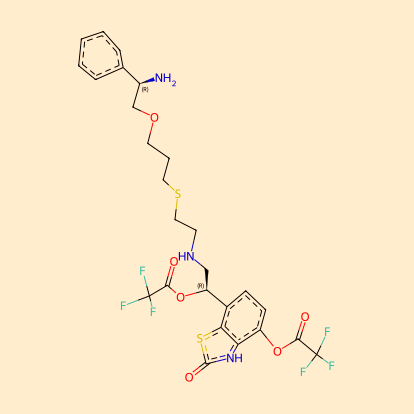 N[C@@H](COCCCSCCNC[C@H](OC(=O)C(F)(F)F)c1ccc(OC(=O)C(F)(F)F)c2[nH]c(=O)sc12)c1ccccc1